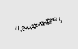 CCCCCCCc1ccc(CCC2CCC(CCC3CCC(CCC)CC3)CC2)cc1